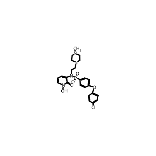 CN1CCN(CCN(c2cccn(O)c2=O)S(=O)(=O)c2ccc(Oc3ccc(Cl)cc3)cc2)CC1